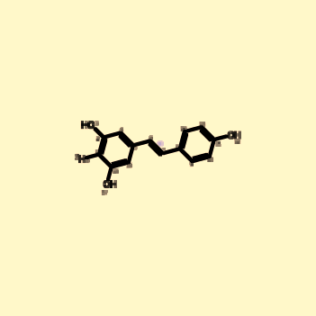 [2H]c1c(O)cc(/C=C/c2ccc(O)cc2)cc1O